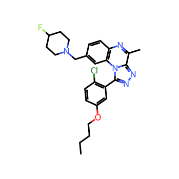 CCCCOc1ccc(Cl)c(-c2nnc3c(C)nc4ccc(CN5CCC(F)CC5)cc4n23)c1